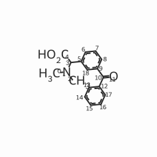 CN(C)C(C(=O)O)c1cccc(C(=O)c2ccccc2)c1